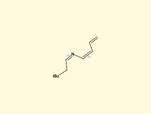 C=C/C=C\N=C/CC(C)(C)C